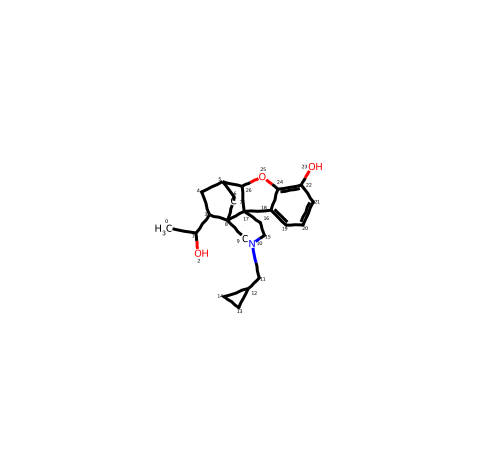 CC(O)C1CC2CCC13CN(CC1CC1)CCC31c3cccc(O)c3OC21